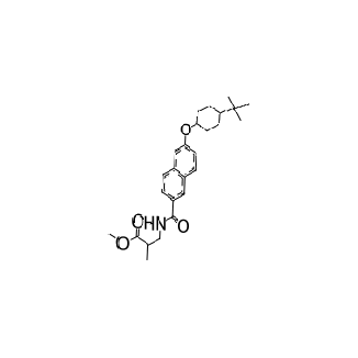 COC(=O)C(C)CNC(=O)c1ccc2cc(OC3CCC(C(C)(C)C)CC3)ccc2c1